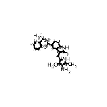 Cc1[nH]c(C=C2C(=O)Nc3ccc(C(=O)NC(C)c4ccccc4)cc32)c(C)c1N